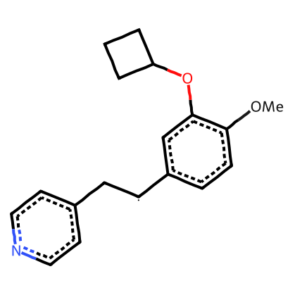 COc1ccc([CH]Cc2ccncc2)cc1OC1CCC1